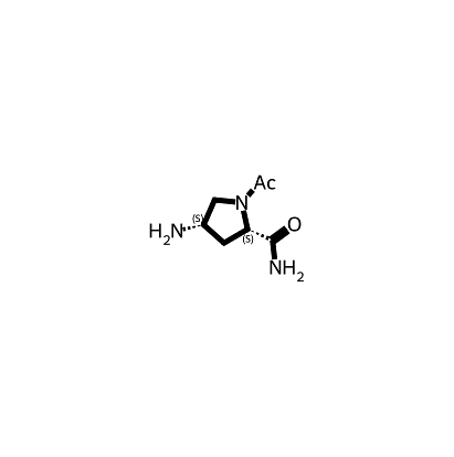 CC(=O)N1C[C@@H](N)C[C@H]1C(N)=O